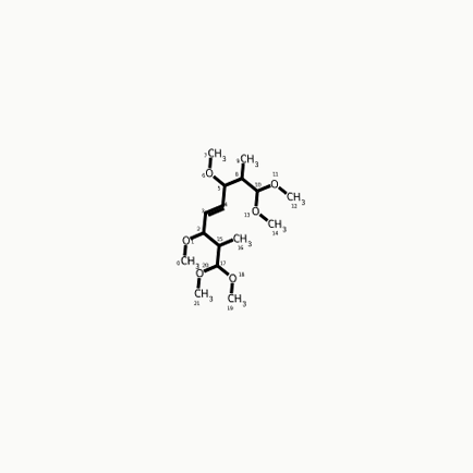 COC(C=CC(OC)C(C)C(OC)OC)C(C)C(OC)OC